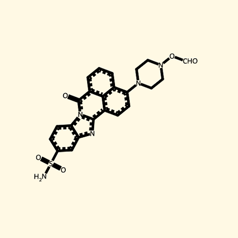 NS(=O)(=O)c1ccc2c(c1)nc1c3ccc(N4CCN(OC=O)CC4)c4cccc(c(=O)n21)c43